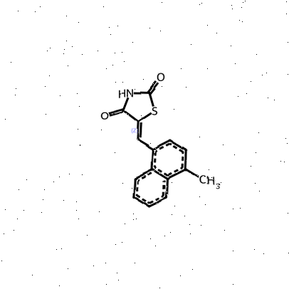 Cc1ccc(/C=C2\SC(=O)NC2=O)c2ccccc12